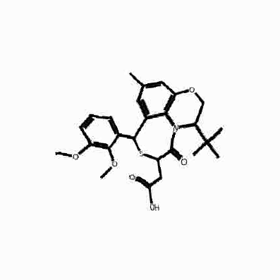 COc1cccc(C2SC(CC(=O)O)C(=O)N3c4c(cc(C)cc42)OCC3C(C)(C)C)c1OC